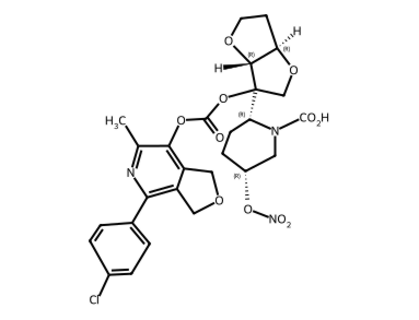 Cc1nc(-c2ccc(Cl)cc2)c2c(c1OC(=O)OC1([C@H]3CC[C@@H](O[N+](=O)[O-])CN3C(=O)O)CO[C@@H]3CCO[C@H]31)COC2